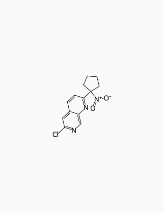 O=[N+]([O-])C1(c2ccc3cc(Cl)ncc3n2)CCCC1